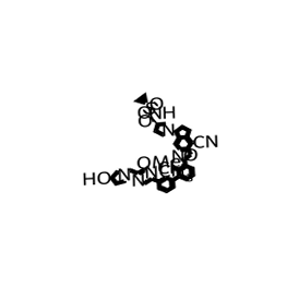 COc1nc(-c2cccc(-c3cccc(-c4nc5cc6c(c(C#N)c5o4)CC[C@H]6N4CC[C@@H](C(=O)NS(=O)(=O)C5CC5)C4)c3Cl)c2C)cnc1CN1CC[C@@H](O)C1